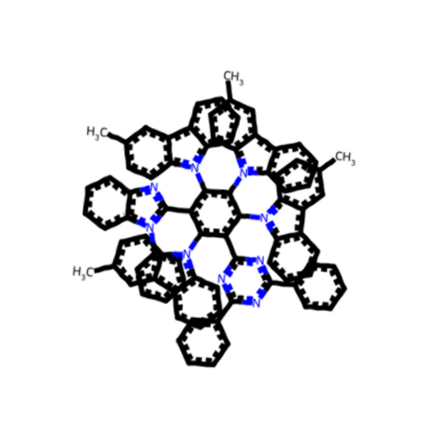 Cc1ccc2c(c1)c1ccccc1n2-c1c(-c2nc(-c3ccccc3)nc(-c3ccccc3)n2)c(-n2c3ccccc3c3cc(C)ccc32)c(-n2c3ccccc3c3cc(C)ccc32)c(-n2c3ccccc3c3cc(C)ccc32)c1-c1nc2ccccc2n1-c1ccccc1